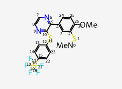 CNSc1cc(-c2nccnc2Sc2ccc(S(F)(F)(F)(F)F)cc2)ccc1OC